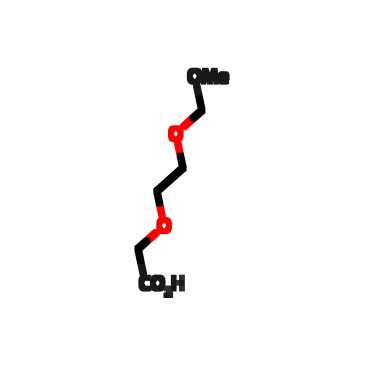 COCOCCOCC(=O)O